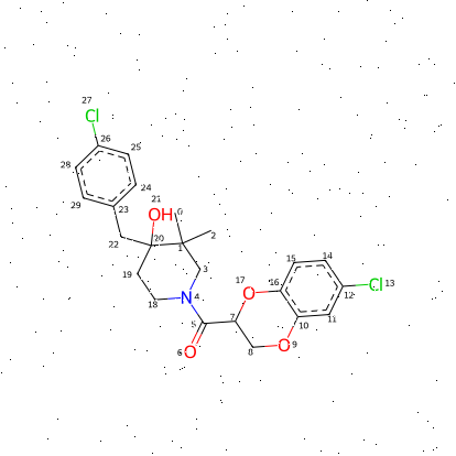 CC1(C)CN(C(=O)C2COc3cc(Cl)ccc3O2)CCC1(O)Cc1ccc(Cl)cc1